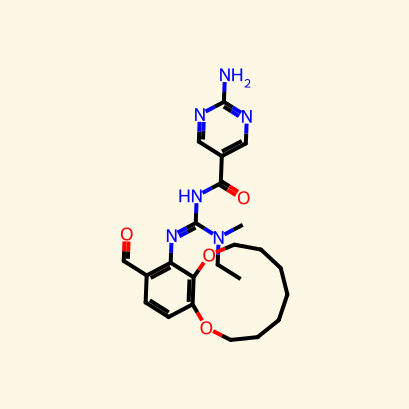 CCN(C)/C(=N\c1c(C=O)ccc2c1OCCCCCCCO2)NC(=O)c1cnc(N)nc1